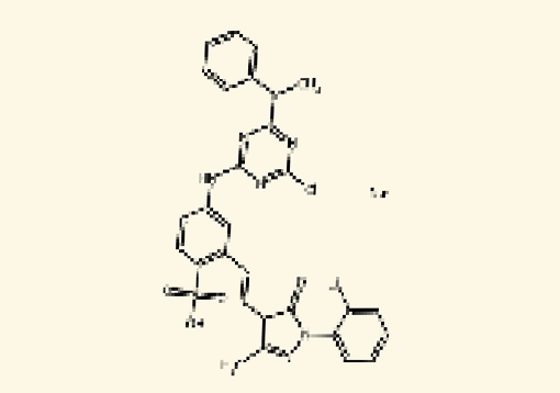 CC1=NN(c2ccccc2Cl)C(=O)C1N=Nc1cc(Nc2nc(Cl)nc(N(C)c3ccccc3)n2)ccc1S(=O)(=O)O.[Na]